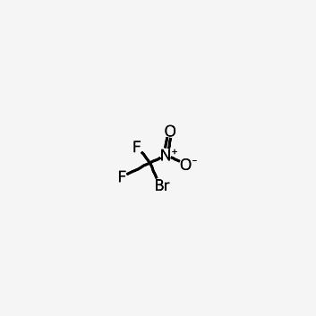 O=[N+]([O-])C(F)(F)Br